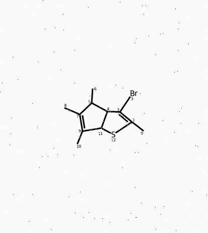 CC1=C(Br)C2C(C)C(C)=C(C)C2S1